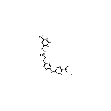 NC(=O)c1ccc(Oc2ccc(CCNCCc3cccc(Cl)c3)cc2)nc1